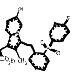 CCOC(=O)Cc1c(C)c(Cc2ccccc2S(=O)(=O)c2ccc(F)cc2)n2cc(C#N)ccc12